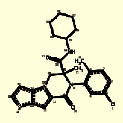 Cc1ccc(Cl)cc1N1C(=O)c2cc3sccc3n2CC1(C)C(=O)NC1CCCCC1